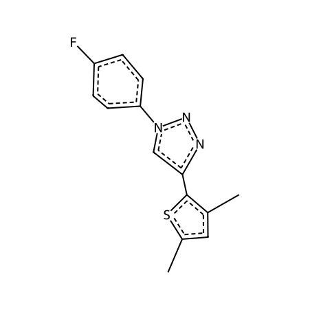 Cc1cc(C)c(-c2cn(-c3ccc(F)cc3)nn2)s1